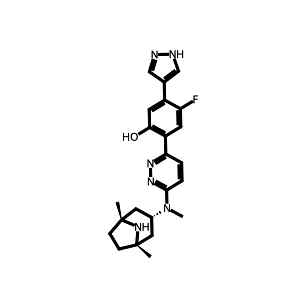 CN(c1ccc(-c2cc(F)c(-c3cn[nH]c3)cc2O)nn1)[C@@H]1C[C@]2(C)CC[C@](C)(C1)N2